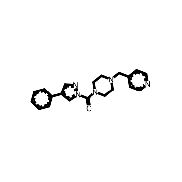 O=C(N1CCN(Cc2ccncc2)CC1)n1cc(-c2ccccc2)cn1